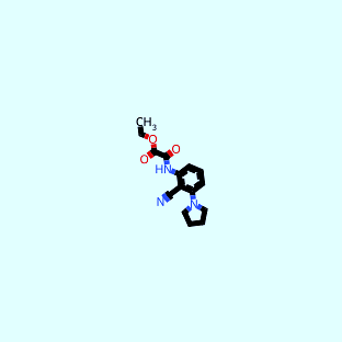 CCOC(=O)C(=O)Nc1cccc(N2CCCC2)c1C#N